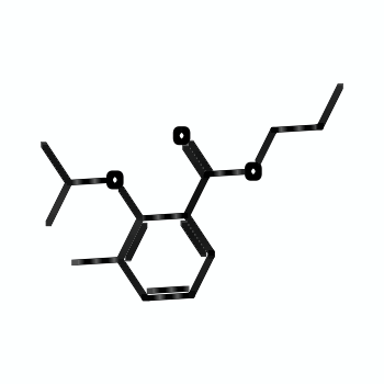 CCCOC(=O)c1cccc(C)c1OC(C)C